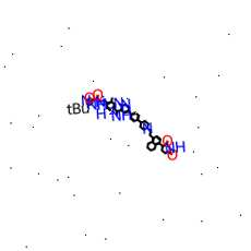 Cc1cc(C(=N)c2cc(-c3ccc(C4CCN(CCc5ccc(C6CCC(=O)NC6=O)c6c5CCCC6)CC4)cc3)cnc2N)ccc1CNC(=O)c1nc(C(C)(C)C)no1